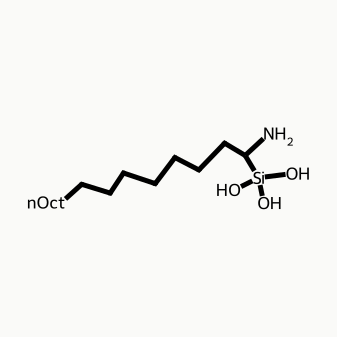 CCCCCCCCCCCCCCCC(N)[Si](O)(O)O